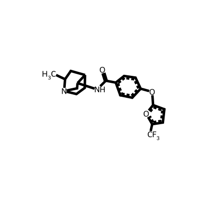 CC1CC2CCN1CC2NC(=O)c1ccc(Oc2ccc(C(F)(F)F)o2)cc1